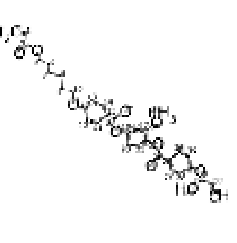 C=CC(=O)OCCCCCCOc1ccc(C(=O)Oc2ccc(OC(=O)c3ccc(OC(O)C=C)cc3)c(OC)c2)cc1